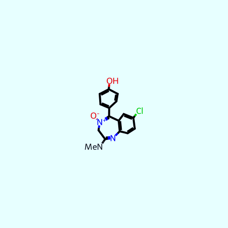 CNC1=Nc2ccc(Cl)cc2C(c2ccc(O)cc2)=[N+]([O-])C1